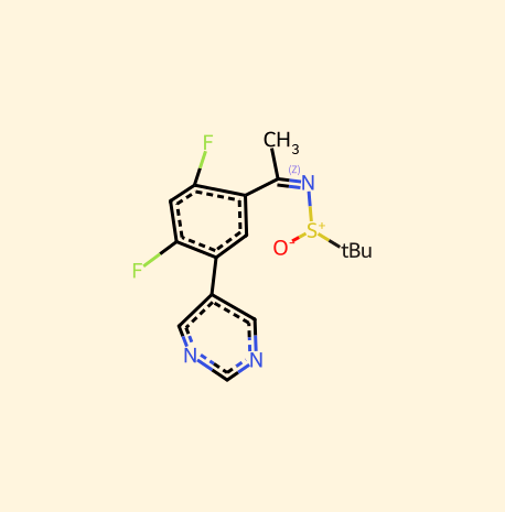 C/C(=N/[S+]([O-])C(C)(C)C)c1cc(-c2cncnc2)c(F)cc1F